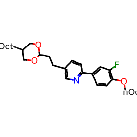 CCCCCCCCOc1ccc(-c2ccc(CCC3OCC(CCCCCCCC)CO3)cn2)cc1F